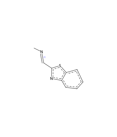 C/N=C/c1nc2ccccc2s1